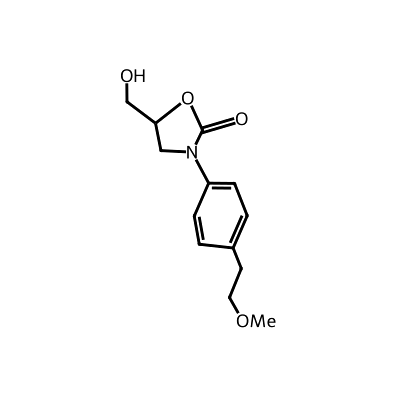 COCCc1ccc(N2CC(CO)OC2=O)cc1